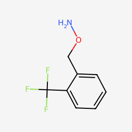 NOCc1ccccc1C(F)(F)F